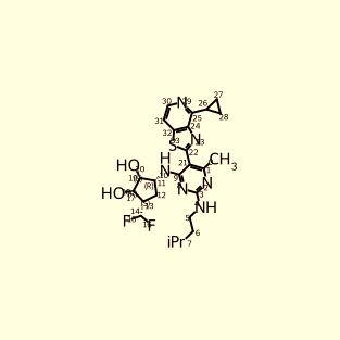 Cc1nc(NCCC(C)C)nc(N[C@@H]2C[C@H](C(F)F)[C@@H](O)[C@H]2O)c1-c1nc2c(C3CC3)nccc2s1